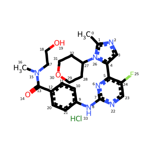 Cc1ncc(-c2nc(Nc3ccc(C(=O)N(C)CCO)cc3)ncc2F)n1C1CCOCC1.Cl